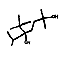 CC(C)C(O)(CCC(C)(C)O)C(C)(C)C